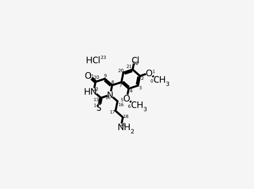 COc1cc(OC)c(-c2cc(=O)[nH]c(=S)n2CCCN)cc1Cl.Cl